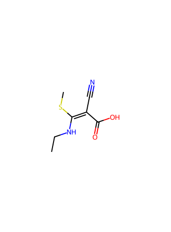 CCNC(SC)=C(C#N)C(=O)O